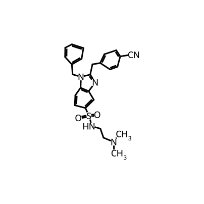 CN(C)CCNS(=O)(=O)c1ccc2c(c1)nc(Cc1ccc(C#N)cc1)n2Cc1ccccc1